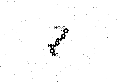 C[C@H](NC(=O)c1ccc2c(ccn2Cc2ccc(-c3cccc(C(=O)O)c3)cc2)c1)c1ccc([N+](=O)[O-])cc1